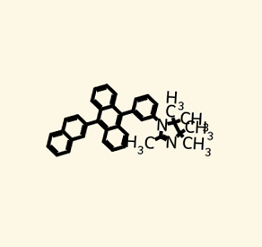 CC1=NC(C)(C)C(C)(C)N1c1cccc(-c2c3ccccc3c(-c3ccc4ccccc4c3)c3ccccc23)c1